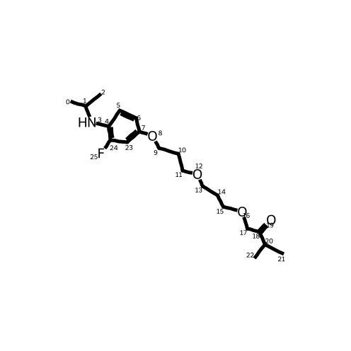 CC(C)Nc1ccc(OCCCOCCCOCC(=O)C(C)C)cc1F